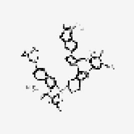 Cc1cc(-n2nc3c(c2-n2ccn(-c4ccc5c(cnn5C)c4)c2=O)CN(C(O)c2cc4cc(N5CCOC6(CC6)C5)ccc4n2C2(c4noc(=O)[nH]4)C[C@@H]2C)CC3)cc(C)c1F